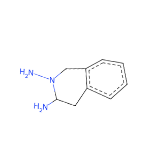 NC1Cc2ccccc2CN1N